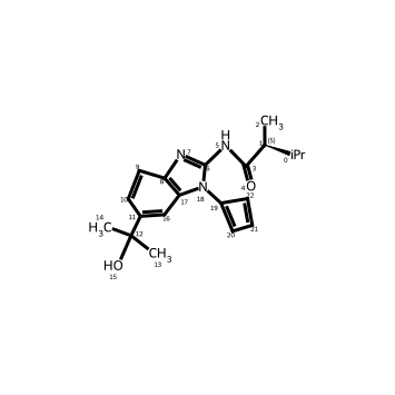 CC(C)[C@H](C)C(=O)Nc1nc2ccc(C(C)(C)O)cc2n1C1=CC=C1